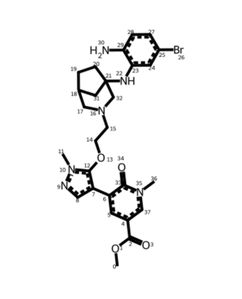 COC(=O)c1cc(-c2cnn(C)c2OCCN2CC3CCC(Nc4cc(Br)ccc4N)(C3)C2)c(=O)n(C)c1